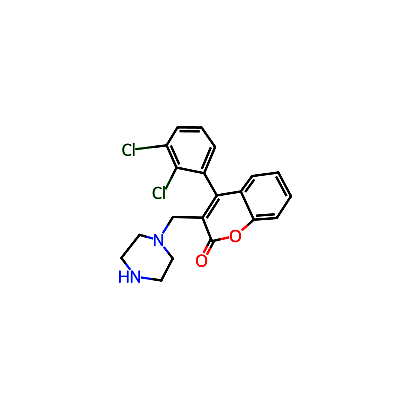 O=c1oc2ccccc2c(-c2cccc(Cl)c2Cl)c1CN1CCNCC1